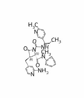 CC[C@@H](NC(=O)N1C(=O)[C@H](Cc2ccnc(N)c2)[C@H]1C(=O)N(C)c1ccccc1)c1ccc(C)nc1